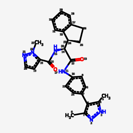 Cc1n[nH]c(C)c1-c1ccc(NC(=O)[C@@H](NC(=O)c2ccnn2C)[C@@H]2CCc3ccccc32)cc1